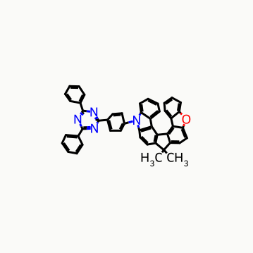 CC1(C)c2ccc3oc4ccccc4c3c2-c2c1ccc1c2c2ccccc2n1-c1ccc(-c2nc(-c3ccccc3)nc(-c3ccccc3)n2)cc1